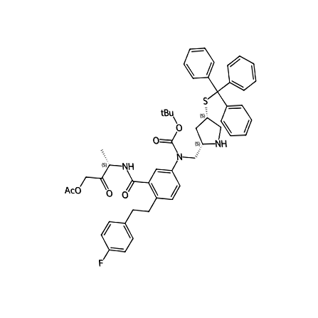 CC(=O)OCC(=O)[C@H](C)NC(=O)c1cc(N(C[C@@H]2C[C@H](SC(c3ccccc3)(c3ccccc3)c3ccccc3)CN2)C(=O)OC(C)(C)C)ccc1CCc1ccc(F)cc1